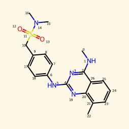 CNc1nc(Nc2ccc(CS(=O)(=O)N(C)C)cc2)nc2c(C)cccc12